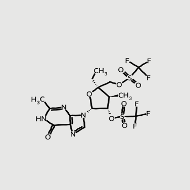 CC[C@@]1(COS(=O)(=O)C(F)(F)F)O[C@@H](n2cnc3c(=O)[nH]c(C)nc32)[C@@H](OS(=O)(=O)C(F)(F)F)[C@@H]1C